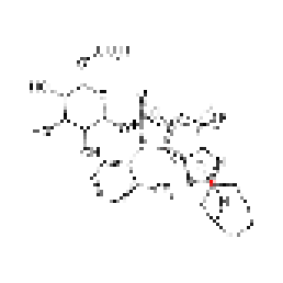 O=C(O)OC1OC(OC(=O)c2cc(F)c3nc(N4C5CCC4CC(OCc4c(-c6ccccc6C(F)(F)F)noc4C4CC4)C5)sc3c2)C(O)C(O)C1O